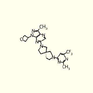 Cc1nc(N2CC[C@@]3(CCN(c4cnc5c(C)nn(C6COC6)c5n4)C3)C2)cc(C(F)(F)F)n1